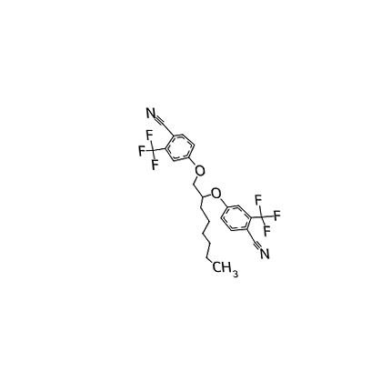 CCCCCCC(COc1ccc(C#N)c(C(F)(F)F)c1)Oc1ccc(C#N)c(C(F)(F)F)c1